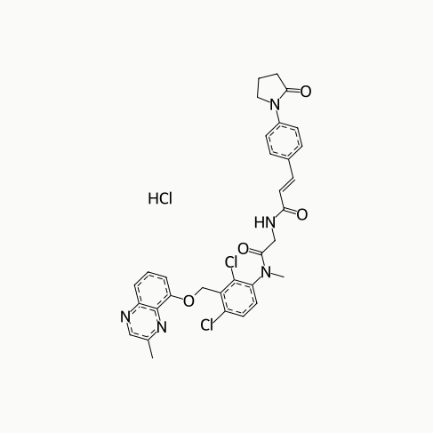 Cc1cnc2cccc(OCc3c(Cl)ccc(N(C)C(=O)CNC(=O)/C=C/c4ccc(N5CCCC5=O)cc4)c3Cl)c2n1.Cl